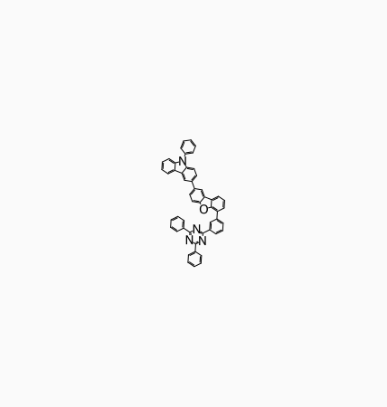 c1ccc(-c2nc(-c3ccccc3)nc(-c3cccc(-c4cccc5c4oc4ccc(-c6ccc7c(c6)c6ccccc6n7-c6ccccc6)cc45)c3)n2)cc1